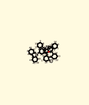 c1ccc(-c2nc(-c3ccccc3)nc(-c3cccc4oc5cccc(-c6cccc7c6sc6cc(-n8c9ccccc9c9ccccc98)ccc67)c5c34)n2)cc1